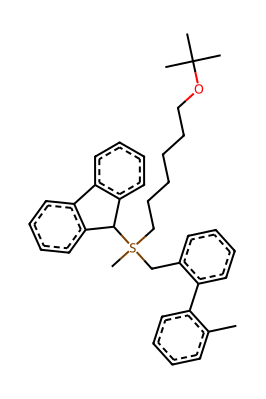 Cc1ccccc1-c1ccccc1CS(C)(CCCCCCOC(C)(C)C)C1c2ccccc2-c2ccccc21